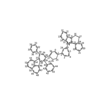 C1=C(c2cccc(-n3c4c(c5ccccc53)CCc3ccccc3-4)c2)CCC(c2cc(-c3ccccc3)c3c(c2-c2ccccc2)-c2cccc4cccc-3c24)=C1